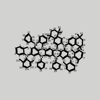 Cc1ccccc1N(c1cc2c3c(c1)N(c1ccccc1)c1cc4c(cc1B3c1ccccc1N2c1ccccc1)B1c2cc3c(cc2N(c2ccc5c(c2)C(C)(C)CCC5(C)C)c2cc(N(c5ccccc5C)c5c(C)cccc5C)cc(c21)N4c1ccccc1)C(C)(C)CCC3(C)C)c1c(C)cccc1C